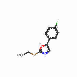 O=C(O)CSc1ncc(-c2ccc(F)cc2)o1